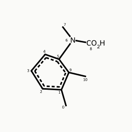 Cc1cccc(N(C)C(=O)O)c1C